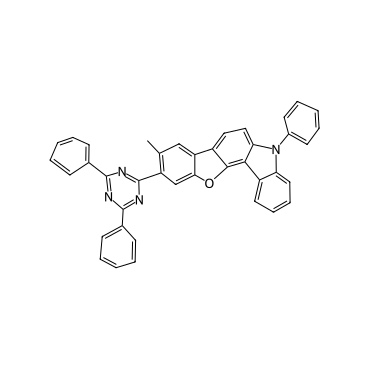 Cc1cc2c(cc1-c1nc(-c3ccccc3)nc(-c3ccccc3)n1)oc1c2ccc2c1c1ccccc1n2-c1ccccc1